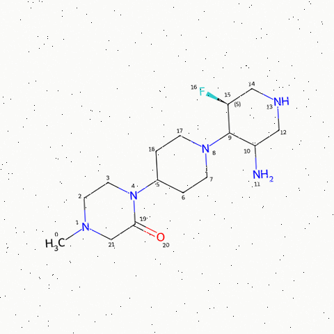 CN1CCN(C2CCN(C3C(N)CNC[C@@H]3F)CC2)C(=O)C1